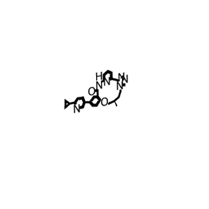 C[C@@H]1CCn2cnnc2-c2cccc(n2)NC(=O)c2cc(-c3ccc(C4CC4)nc3)ccc2OC1